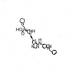 O=C(O)N(CCN1CCCCC1)[C@H]1CN[C@H](C#Cc2cc3ncnc(Nc4ccc5c(cnn5Cc5ccccc5)c4)c3s2)C1